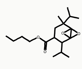 CCCCOC(=O)C1CC(C)(C(C)C)C23OC2(O3)C1C(C)C